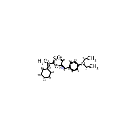 CCN(CC)c1ccc(/C=C(\C=O)OC(=S)N(C)C2CCCCC2)cc1